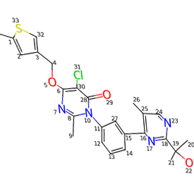 Cc1cc(COc2nc(C)n(-c3cccc(-c4nc(C(C)(C)O)ncc4C)c3)c(=O)c2Cl)cs1